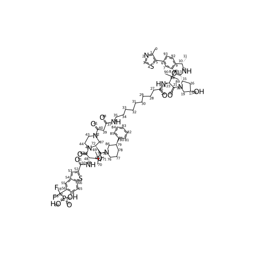 Cc1ncsc1-c1ccc([C@H](C)NC(=O)[C@@H]2C[C@@H](O)CN2C(=O)[C@@H](NC(=O)CCCCCCCCCNC(=O)CC(=O)N2CCN(C(=O)[C@@H](NC(=O)c3cc4cc(C(F)(F)P(=O)(O)O)ccc4s3)C(C)(C)C)[C@H](C(=O)N3CCC[C@H](c4ccccc4)C3)C2)C(C)(C)C)cc1